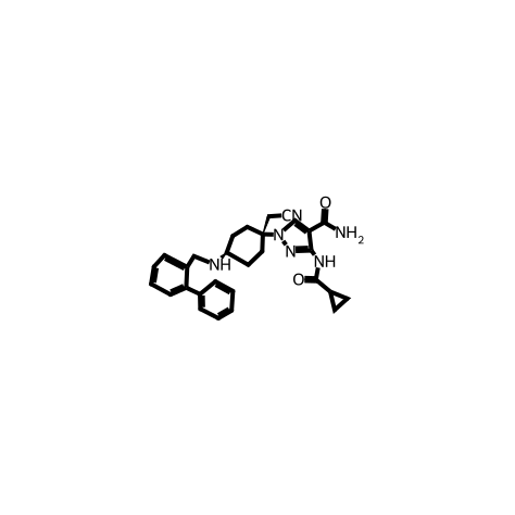 N#CC[C@]1(n2cc(C(N)=O)c(NC(=O)C3CC3)n2)CC[C@H](NCc2ccccc2-c2ccccc2)CC1